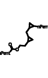 CCCCCC(=O)OCCC1CC1CC1CC1CCCCC